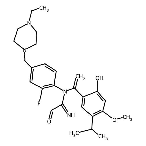 C=C(c1cc(C(C)C)c(OC)cc1O)N(C(=N)C=O)c1ccc(CN2CCN(CC)CC2)cc1F